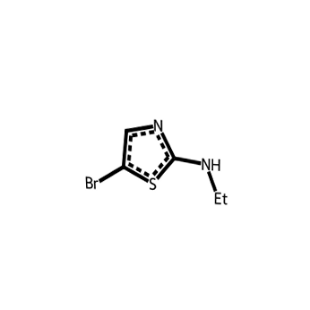 CCNc1ncc(Br)s1